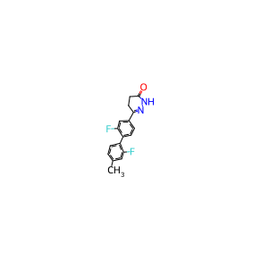 Cc1ccc(-c2ccc(C3=NNC(=O)CC3)cc2F)c(F)c1